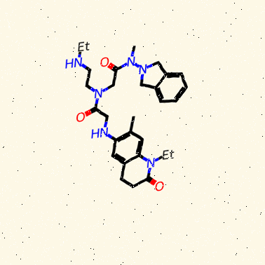 CCNCCN(CC(=O)N(C)N1Cc2ccccc2C1)C(=O)CNc1cc2c(cc1C)N(CC)C(=O)CC2